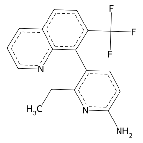 CCc1nc(N)ccc1-c1c(C(F)(F)F)ccc2cccnc12